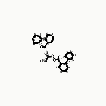 [CH2]CCC[C](OOC(=O)c1ccccc1-c1ccccc1)OOC(=O)c1ccccc1-c1ccccc1